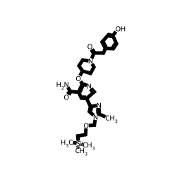 Cc1nc(-c2cnc(OC3CCN(C(=O)Cc4ccc(O)cc4)CC3)c(C(N)=O)c2)cn1COCC[Si](C)(C)C